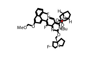 COCOc1cc(-c2ncc3c(N4C[C@H]5CC[C@@H](C4)N5C(=O)OC(C)(C)C)nc(OC[C@@]45CCCN4C[C@H](F)C5)nc3c2F)c2c(F)cccc2c1